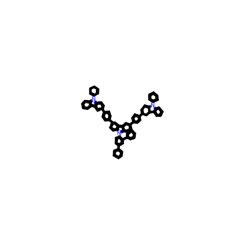 C1=CC(n2c3ccccc3c3cc(-c4ccc(-c5ccc6c(c5)c5cc(-c7ccc(C8=CC=C9C(C8)c8ccccc8N9c8ccccc8)cc7)ccc5n6-c5ccc(-c6ccccc6)cc5-c5ccccc5)cc4)ccc32)=CCC1